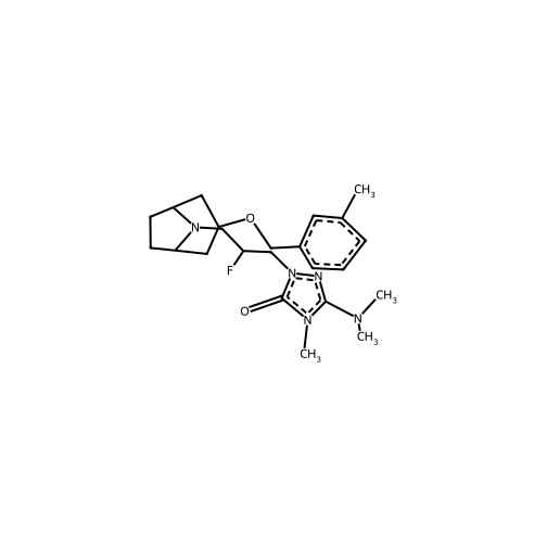 Cc1cccc(COC2CC3CCC(C2)N3CC(F)Cn2nc(N(C)C)n(C)c2=O)c1